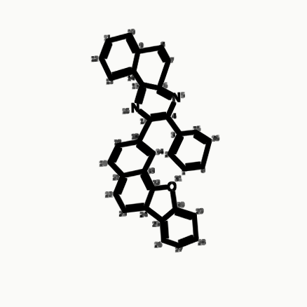 c1ccc(-c2nc3ccc4ccccc4c3nc2-c2ccc3ccc4c5ccccc5oc4c3c2)cc1